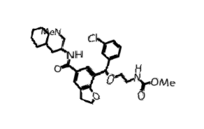 CNC[C@H](CC1CCCCC1)NC(=O)c1cc2c(c(C(OCCNC(=O)OC)c3cccc(Cl)c3)c1)OCC2